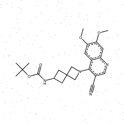 COc1cc2ncc(C#N)c(N3CC4(CC(NC(=O)OC(C)(C)C)C4)C3)c2cc1OC